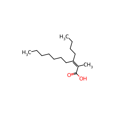 CCCCCCC/C(CCCC)=C(/C)C(=O)O